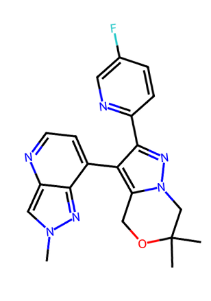 Cn1cc2nccc(-c3c(-c4ccc(F)cn4)nn4c3COC(C)(C)C4)c2n1